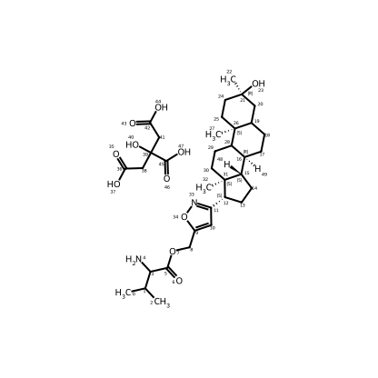 CC(C)C(N)C(=O)OCc1cc([C@H]2CC[C@H]3[C@@H]4CCC5C[C@](C)(O)CC[C@]5(C)C4CC[C@]23C)no1.O=C(O)CC(O)(CC(=O)O)C(=O)O